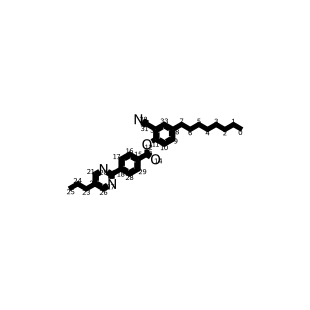 CCCCCCCCc1ccc(OC(=O)c2ccc(-c3ncc(CCC)cn3)cc2)c(C#N)c1